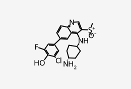 C[S+]([O-])c1cnc2ccc(-c3cc(F)c(O)c(Cl)c3)cc2c1N[C@H]1CC[C@H](N)CC1